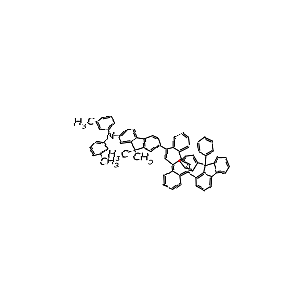 Cc1cccc(N(c2cccc(C)c2)c2ccc3c(c2)C(C)(C)c2cc(-c4cc5c6ccccc6c(-c6cccc7c6C(c6ccccc6)(c6ccccc6)c6ccccc6-7)cc5c5ccccc45)ccc2-3)c1